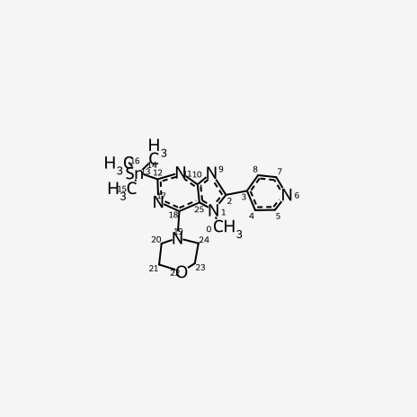 Cn1c(-c2ccncc2)nc2n[c]([Sn]([CH3])([CH3])[CH3])nc(N3CCOCC3)c21